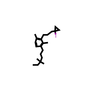 CCC(C)(C)CCCc1ccc(C)c(CCCC2(I)CC2)c1C